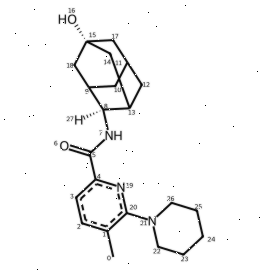 Cc1ccc(C(=O)N[C@H]2C3CC4CC2C[C@](O)(C4)C3)nc1N1CCCCC1